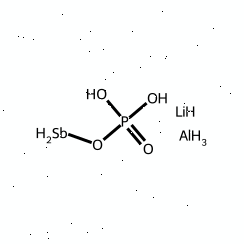 O=P(O)(O)[O][SbH2].[AlH3].[LiH]